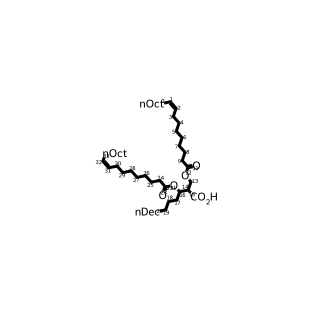 CCCCCCCC/C=C\CCCCCCCC(=O)OCC(C(=O)O)C(CCCCCCCCCCCCC)OC(=O)CCCCCCC/C=C\CCCCCCCC